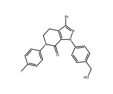 CC(=O)c1nn(-c2ccc(CO)cc2)c2c1CCN(c1ccc(I)cc1)C2=O